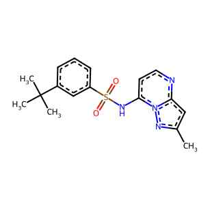 Cc1cc2nccc(NS(=O)(=O)c3cccc(C(C)(C)C)c3)n2n1